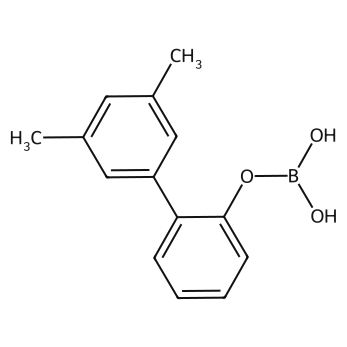 Cc1cc(C)cc(-c2ccccc2OB(O)O)c1